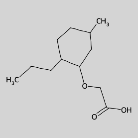 CCCC1CCC(C)CC1OCC(=O)O